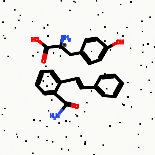 NC(=O)c1ccccc1C=Cc1ccccc1.N[C@@H](Cc1ccc(O)cc1)C(=O)O